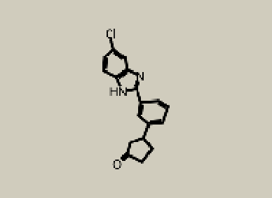 O=C1CCC(c2cccc(-c3nc4cc(Cl)ccc4[nH]3)c2)C1